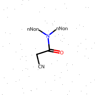 CCCCCCCCCN(CCCCCCCCC)C(=O)CC#N